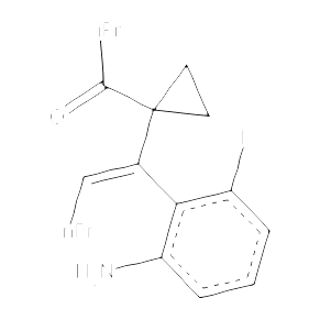 CCC/C=C(\c1c(N)cccc1F)C1(C(=O)C(C)C)CC1